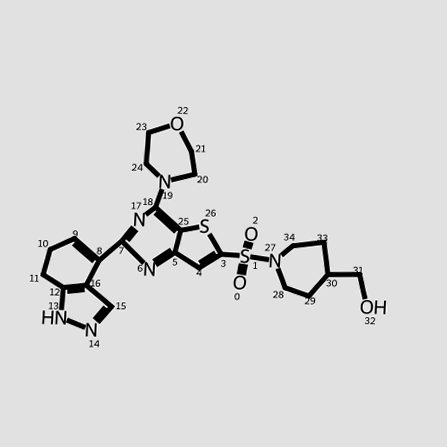 O=S(=O)(c1cc2nc(C3=CCCc4[nH]ncc43)nc(N3CCOCC3)c2s1)N1CCC(CO)CC1